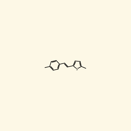 Cc1ccc(C=Cc2ccc(C)s2)cc1